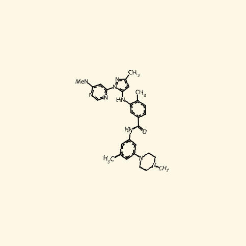 CNc1cc(-n2nc(C)cc2Nc2cc(C(=O)Nc3cc(C)cc(N4CCN(C)CC4)c3)ccc2C)ncn1